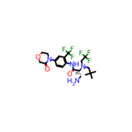 CC(C)(C)CN(CC(F)(F)F)[C@H](CN)C(=O)Nc1ccc(N2CCOCC2=O)cc1C(F)(F)F